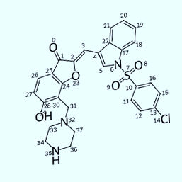 O=C1/C(=C/c2cn(S(=O)(=O)c3ccc(Cl)cc3)c3ccccc23)Oc2c1ccc(O)c2CN1CCNCC1